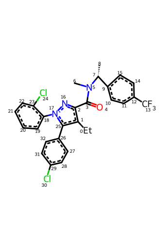 CCc1c(C(=O)N(C)[C@H](C)c2ccc(C(F)(F)F)cc2)nn(-c2ccccc2Cl)c1-c1ccc(Cl)cc1